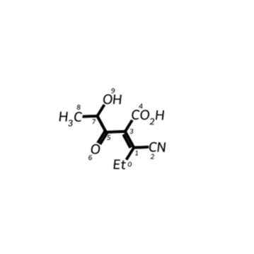 CCC(C#N)=C(C(=O)O)C(=O)C(C)O